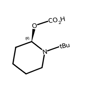 CC(C)(C)N1CCCC[C@H]1OC(=O)O